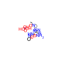 C=CC(=O)N1CCC[C@@H](n2nc(C(=O)Nc3nc4ccccc4o3)c3c(N)ncnc32)C1.O=P(O)(O)O